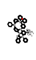 C[Si](C)(C)c1cc2c3c(c1)N(c1ccccc1)c1c(sc4ccccc14)B3c1ccc3cc1N2c1cccc(c1)[Si](c1ccccc1)(c1ccccc1)c1cccc(c1)N3C1CCCCC1